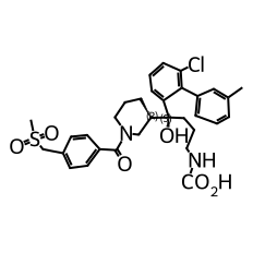 Cc1cccc(-c2c(Cl)cccc2[C@](O)(CCCNC(=O)O)[C@@H]2CCCN(C(=O)c3ccc(CS(C)(=O)=O)cc3)C2)c1